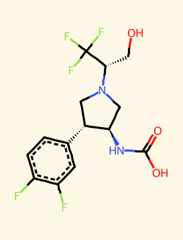 O=C(O)N[C@@H]1CN([C@@H](CO)C(F)(F)F)C[C@H]1c1ccc(F)c(F)c1